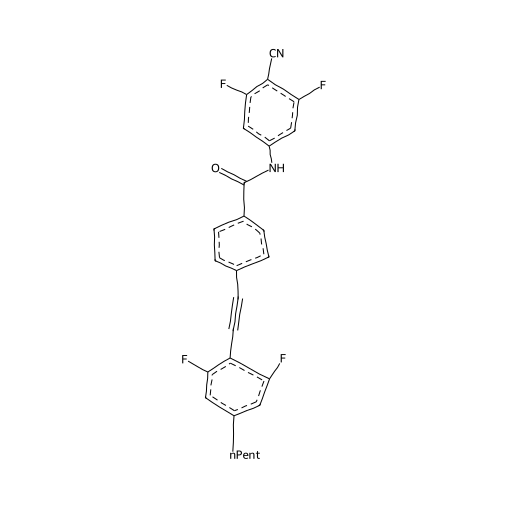 CCCCCc1cc(F)c(C#Cc2ccc(C(=O)Nc3cc(F)c(C#N)c(F)c3)cc2)c(F)c1